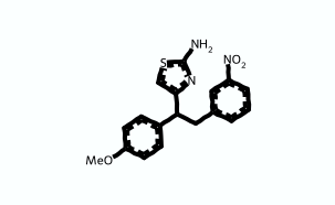 COc1ccc(C(Cc2cccc([N+](=O)[O-])c2)c2csc(N)n2)cc1